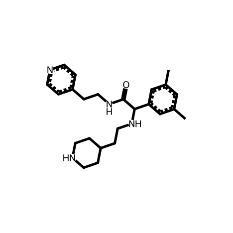 Cc1cc(C)cc(C(NCCC2CCNCC2)C(=O)NCCc2ccncc2)c1